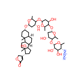 CC1O[C@@H](OC2C(C)O[C@@H](O[C@H]3CCC4(C)C5CCC6(C)[C@@H](C7=CC(=O)OC7)CC[C@]6(O)[C@@H]5CC[C@@H]4C3)C[C@H]2O)C[C@@H](O)C1O[C@H]1C[C@@H](O)C(O[C@@H]2OC(C)[C@H](N=[N+]=[N-])C(O)[C@@H]2O)C(C)O1